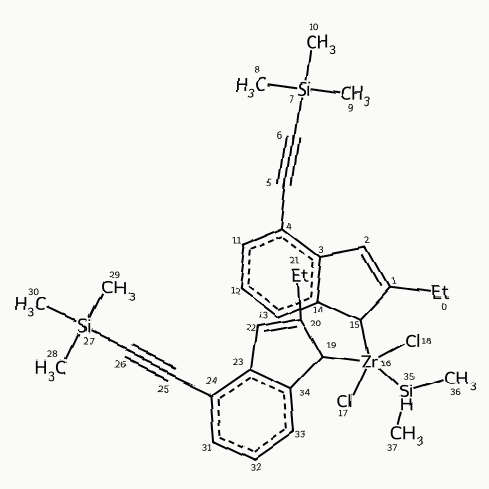 CCC1=Cc2c(C#C[Si](C)(C)C)cccc2[CH]1[Zr]([Cl])([Cl])([CH]1C(CC)=Cc2c(C#C[Si](C)(C)C)cccc21)[SiH](C)C